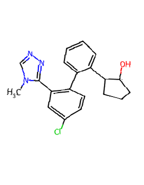 Cn1cnnc1-c1cc(Cl)ccc1-c1ccccc1C1CCC[C]1O